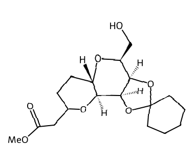 COC(=O)CC1CC[C@@H]2O[C@@H](CO)[C@H]3OC4(CCCCC4)O[C@H]3[C@H]2O1